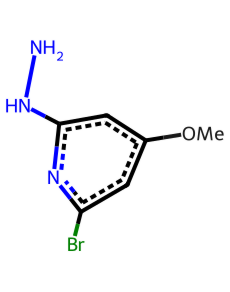 COc1cc(Br)nc(NN)c1